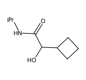 CC(C)NC(=O)C(O)C1CCC1